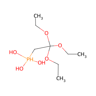 CCOC(C[PH](O)(O)O)(OCC)OCC